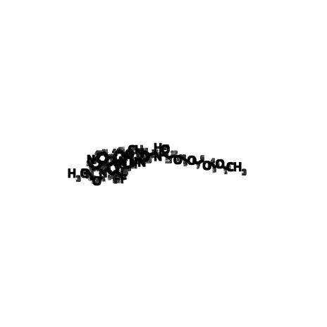 CCOCCOCCOCCOCCC(=O)NCc1cnc(N2CCN(c3ccc(N4COCN(C)c5cnc6ccc(-c7ccc(OC)nc7)cc6c54)cc3C(F)(F)F)CC2)nc1